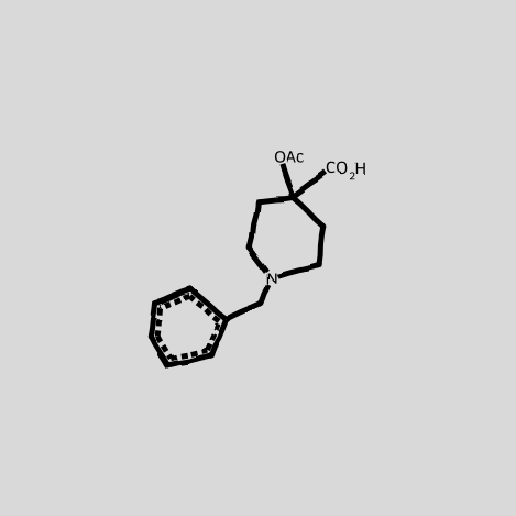 CC(=O)OC1(C(=O)O)CCN(Cc2ccccc2)CC1